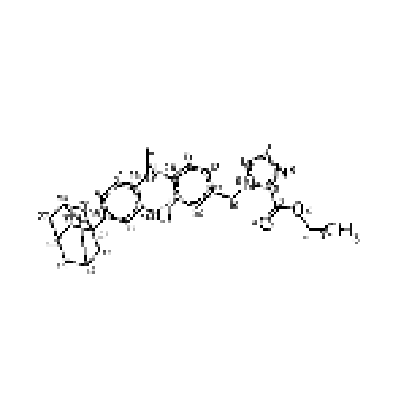 CCOC(=O)c1nccn1Cc1ccc(Nc2ccc(C34CC5CC(CC(C5)C3)C4)cc2Cl)cc1